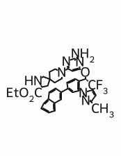 CCOC(=O)[C@@H]1CC2(CCN(c3cc(O[C@H](c4ccc(-c5ccc6ccccc6c5)cc4-n4ccc(C)n4)C(F)(F)F)nc(N)n3)CC2)CN1